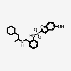 CC(CC1CCCCC1)NCc1ccccc1NS(=O)(=O)c1cc2cc(O)ccc2o1